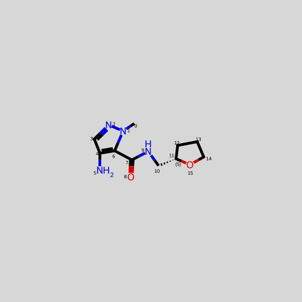 Cn1ncc(N)c1C(=O)NC[C@@H]1CCCO1